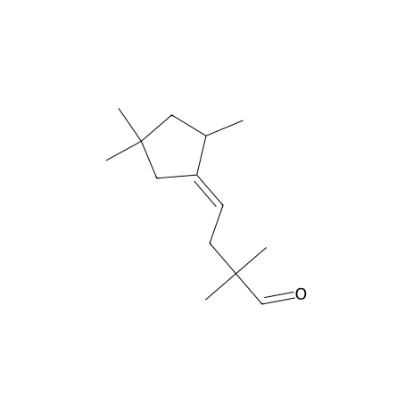 CC1CC(C)(C)CC1=CCC(C)(C)C=O